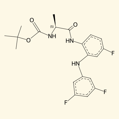 C[C@H](NC(=O)OC(C)(C)C)C(=O)Nc1ccc(F)cc1Nc1cc(F)cc(F)c1